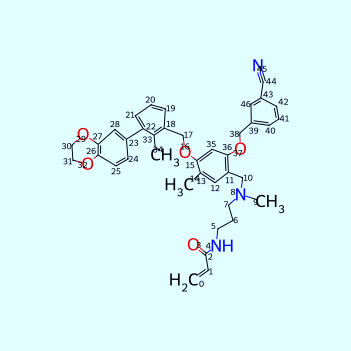 C=CC(=O)NCCCN(C)Cc1cc(C)c(OCc2cccc(-c3ccc4c(c3)OCCO4)c2C)cc1OCc1cccc(C#N)c1